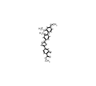 COC(=O)c1ccc(-c2noc(-c3ccc(-c4ccc(OC)cc4OC)c(C)c3)n2)cc1F